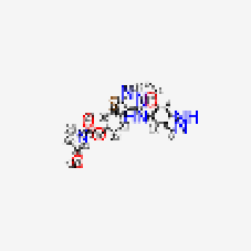 CCOc1cc2[nH]ncc2cc1Nc1ncnc2sc3c(c12)CCC(OC(=O)N(CC)CCOC)C3